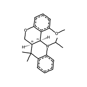 COc1cccc2c1[C@@H]1[C@H](CO2)C(C)(C)c2ccccc2N1C(C)C